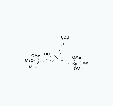 CO[Si](CCCC(CCCC(=O)O)(CCC[Si](OC)(OC)OC)C(=O)O)(OC)OC